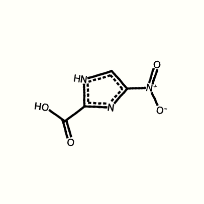 O=C(O)c1nc([N+](=O)[O-])c[nH]1